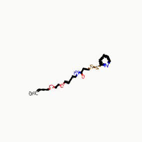 O=CCCOCCOCCCCNC(=O)CCSSc1ccccn1